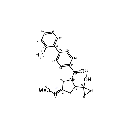 CO/N=C1/CC(C2(O)CC2)N(C(=O)c2ccc(-c3ccccc3C)cc2)C1